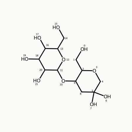 OCC1OCC(O)(O)CC1OC1OC(CO)C(O)C(O)C1O